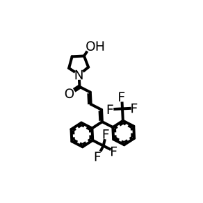 O=C(C=CC=C(c1ccccc1C(F)(F)F)c1ccccc1C(F)(F)F)N1CCC(O)C1